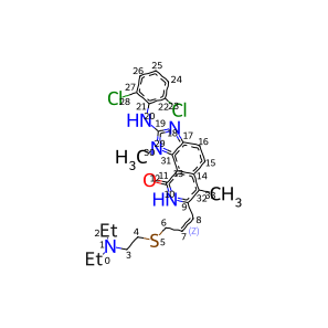 CCN(CC)CCSC/C=C\c1[nH]c(=O)c2c(ccc3nc(Nc4c(Cl)cccc4Cl)n(C)c32)c1C